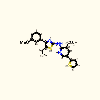 COc1cccc(-c2nc(Nc3ncc(-c4cccs4)cc3C(=O)O)sc2CC(C)C)c1